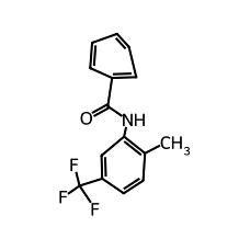 Cc1ccc(C(F)(F)F)cc1NC(=O)c1ccccc1